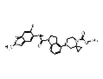 Cn1cc2cc(NC(=O)N3CCc4c(N5CCN(C(=O)OC(C)(C)C)C6(CC6)C5)ccnc43)c(F)cc2n1